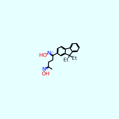 CCC1(CC)c2ccccc2-c2ccc(/C(CC/C(C)=N/O)=N/O)cc21